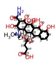 C[C@@H]1c2cccc(O)c2C(=O)C2=C(O)[C@@]3(O)C(=O)C(C(N)=O)=C(O)[C@H](N(C)C)[C@H]3[C@H](OC(=O)CCC(=O)O)[C@H]21